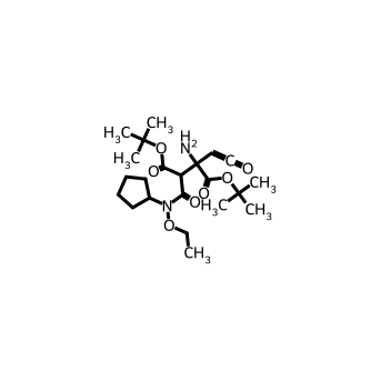 CCON(C(=O)C(C(=O)OC(C)(C)C)C(N)(C=C=O)C(=O)OC(C)(C)C)C1CCCC1